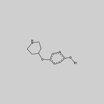 CCOc1ccc(OC2CCNCC2)cn1